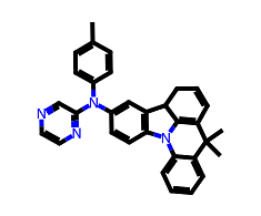 Cc1ccc(N(c2ccc3c(c2)C2CC=CC4=C2N3c2ccccc2C4(C)C)c2cnccn2)cc1